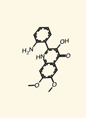 COc1cc2[nH]c(-c3ccccc3N)c(O)c(=O)c2cc1OC